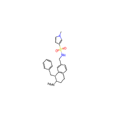 CNC1CCc2ccc(CNS(=O)(=O)c3ccn(C)c3)cc2C1Cc1ccccc1